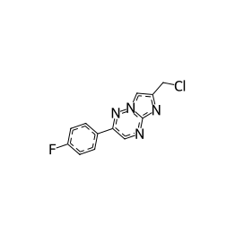 Fc1ccc(-c2cnc3nc(CCl)cn3n2)cc1